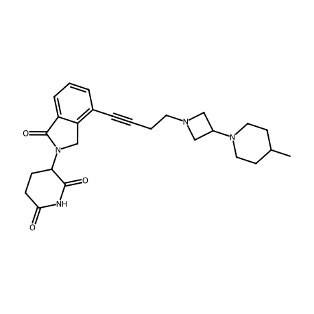 CC1CCN(C2CN(CCC#Cc3cccc4c3CN(C3CCC(=O)NC3=O)C4=O)C2)CC1